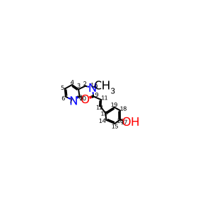 CN(Cc1cccnc1)C(=O)C=Cc1ccc(O)cc1